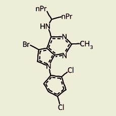 CCCC(CCC)Nc1nc(C)nc2c1c(Br)cn2-c1ccc(Cl)cc1Cl